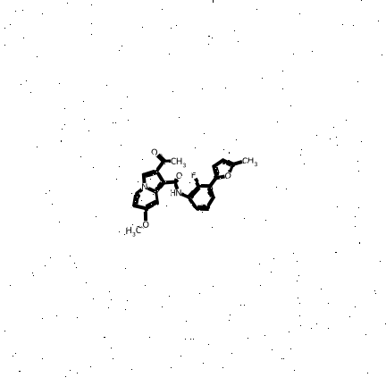 COc1ccn2cc(C(C)=O)c(C(=O)Nc3cccc(-c4ccc(C)o4)c3F)c2c1